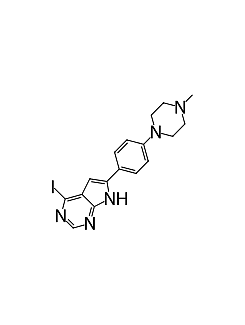 CN1CCN(c2ccc(-c3cc4c(I)ncnc4[nH]3)cc2)CC1